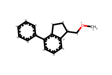 COCC1CCc2c(-c3ccccc3)cccc21